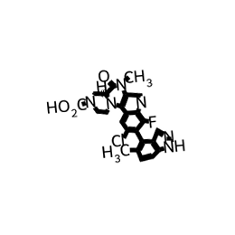 Cc1ccc2[nH]ncc2c1-c1c(Cl)cc2c3c(cnc2c1F)N(C)C(=O)[C@H]1CN(C(=O)O)CCN31